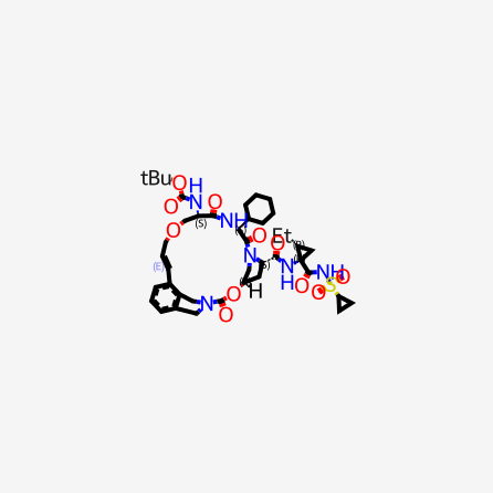 CC[C@@H]1C[C@]1(NC(=O)[C@@H]1C[C@@H]2CN1C(=O)[C@H](C1CCCCC1)NC(=O)[C@@H](NC(=O)OC(C)(C)C)COC/C=C/c1cccc3c1CN(C3)C(=O)O2)C(=O)NS(=O)(=O)C1CC1